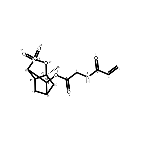 C=CC(=O)NCC(=O)OC1C2CC3C1S(=O)(=O)O[C@@]3(C)C2